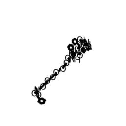 C[C@@H](C(=O)N[C@H](C(=O)N1CCC[C@H]1C(=O)Nc1sc(NC(=O)COCCOCCOCCOCCOCCOCCN(C)C(=O)OCc2ccccc2)nc1-c1ccccc1)C1CCCCC1)N(C)C(=O)OC(C)(C)C